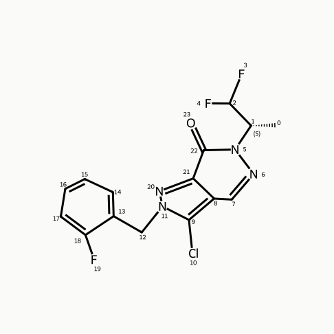 C[C@@H](C(F)F)n1ncc2c(Cl)n(Cc3ccccc3F)nc2c1=O